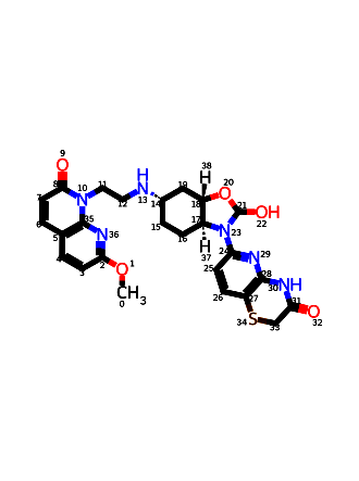 COc1ccc2ccc(=O)n(CCN[C@H]3CC[C@H]4[C@H](C3)OC(O)N4c3ccc4c(n3)NC(=O)CS4)c2n1